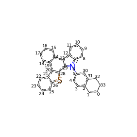 C1=Cc2ccc(-n3c4ccccc4c4c5ccccc5c5c6ccccc6sc5c43)cc2CC1